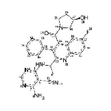 CC(Nc1ncnc(N)c1C#N)c1nc2ccc(F)cc2c(C(=O)N2CC[C@@H](O)C2)c1-c1ccccc1